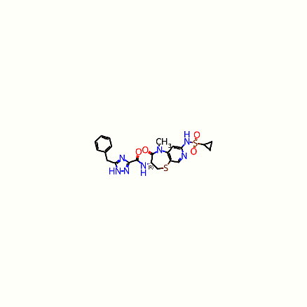 CN1C(=O)[C@@H](NC(=O)c2n[nH]c(Cc3ccccc3)n2)CSc2cnc(NS(=O)(=O)C3CC3)cc21